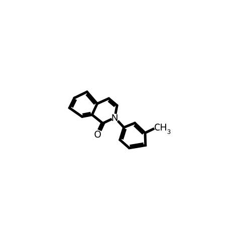 Cc1cccc(-n2ccc3ccccc3c2=O)c1